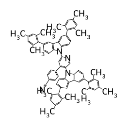 Cc1cc(C)c(-c2ccc3c(c2)c2cc(-c4c(C)cc(C)cc4C)ccc2n3-c2cc(-c3ccc(C#N)cc3)c(-n3c4ccc(-c5c(C)cc(C)cc5C)cc4c4cc(-c5c(C)cc(C)cc5C)ccc43)cn2)c(C)c1